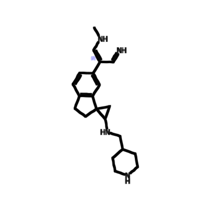 CN/C=C(\C=N)c1ccc2c(c1)C1(CC2)CC1NCC1CCNCC1